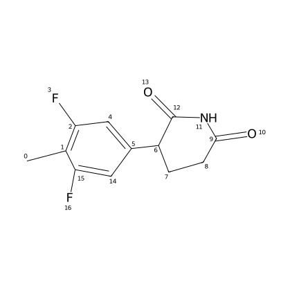 Cc1c(F)cc(C2CCC(=O)NC2=O)cc1F